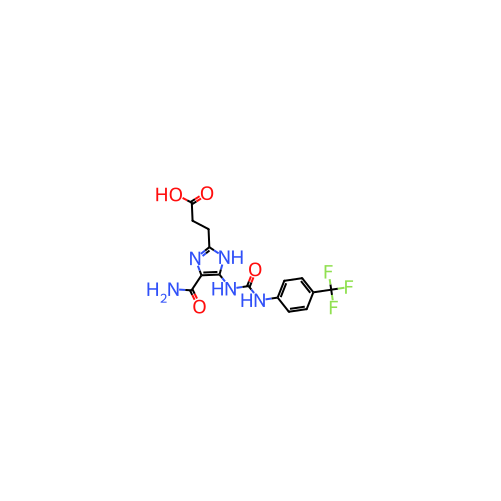 NC(=O)c1nc(CCC(=O)O)[nH]c1NC(=O)Nc1ccc(C(F)(F)F)cc1